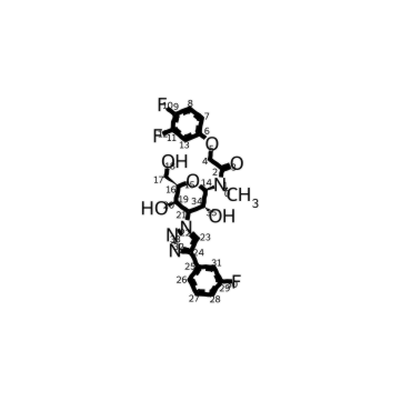 CN(C(=O)COc1ccc(F)c(F)c1)[C@@H]1O[C@H](CO)[C@H](O)C(n2cc(-c3cccc(F)c3)nn2)[C@H]1O